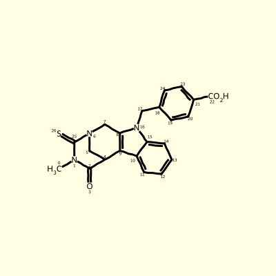 CN1C(=O)C2CN(Cc3c2c2ccccc2n3Cc2ccc(C(=O)O)cc2)C1=S